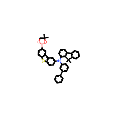 CC1(C)COB(c2ccc3sc4ccc(N(c5cccc(-c6ccccc6)c5)c5cccc6c5C(C)(C)c5ccccc5-6)cc4c3c2)O1